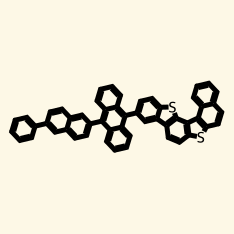 c1ccc(-c2ccc3cc(-c4c5ccccc5c(-c5ccc6sc7c(ccc8sc9ccc%10ccccc%10c9c87)c6c5)c5ccccc45)ccc3c2)cc1